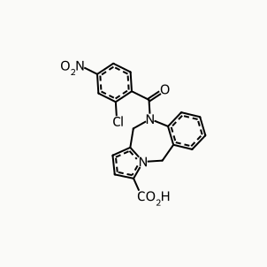 O=C(O)c1ccc2n1Cc1ccccc1N(C(=O)c1ccc([N+](=O)[O-])cc1Cl)C2